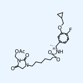 CC(=O)OCN1C(=O)CN(CCCCCS(=O)(=O)N[C@H](C)c2ccc(F)c(OCC3CC3)c2)C1=O